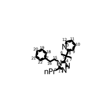 CCCc1nnc(C(C)(C)c2ccccn2)n1CCc1ccccc1